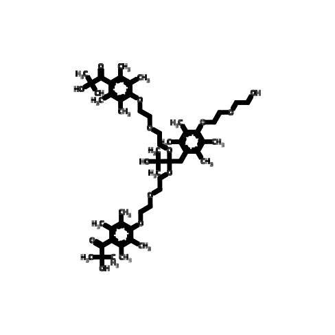 Cc1c(C)c(OCCOCCO)c(C)c(C)c1CC(OCCOCCOc1c(C)c(C)c(C(=O)C(C)(C)O)c(C)c1C)(OCCOCCOc1c(C)c(C)c(C(=O)C(C)(C)O)c(C)c1C)C(C)(C)O